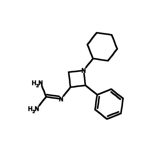 NC(N)=NC1CN(C2CCCCC2)C1c1ccccc1